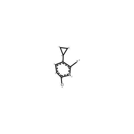 Fc1nc(Cl)ccc1C1CC1